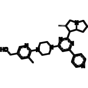 Cc1cc(CO)cnc1N1CCN(c2cc(-c3ccncc3)nc(C3C(C)CN4CCCC34)n2)CC1